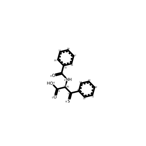 O=C(N[C@H](C(=O)O)C(=S)c1ccccc1)c1ccccc1